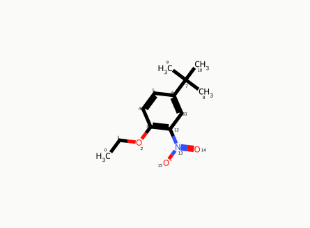 CCOc1ccc(C(C)(C)C)cc1[N+](=O)[O-]